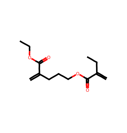 C=C(CC)C(=O)OCCCC(=C)C(=O)OCC